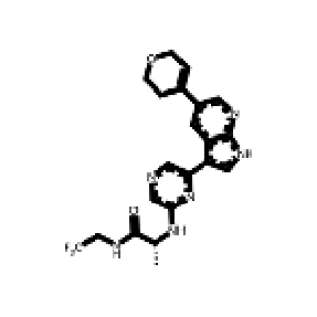 C[C@@H](Nc1cncc(-c2c[nH]c3ncc(C4=CCOCC4)cc23)n1)C(=O)NCC(F)(F)F